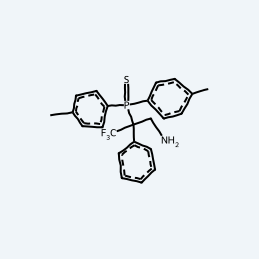 Cc1ccc(P(=S)(c2ccc(C)cc2)C(CN)(c2ccccc2)C(F)(F)F)cc1